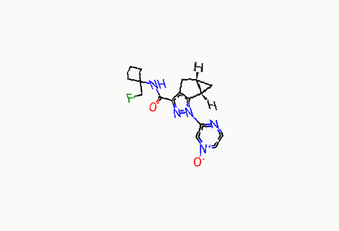 O=C(NC1(CF)CCC1)c1nn(-c2c[n+]([O-])ccn2)c2c1C[C@@H]1C[C@H]21